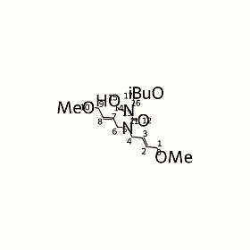 COC/C=C/CN(C/C=C/COC)C(=O)N(CO)COCC(C)C